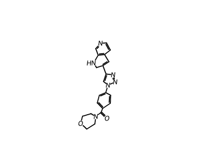 O=C(c1ccc(-n2cc(C3=Cc4ccncc4NC3)nn2)cc1)N1CCOCC1